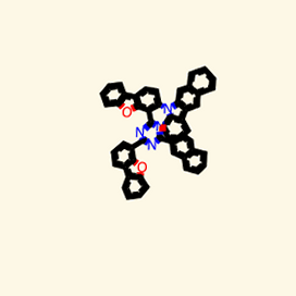 c1ccc2cc(-c3nc(-c4cccc5c4oc4ccccc45)nc(-c4c(-n5c6ccccc6c6cc7ccccc7cc65)ccc5c4oc4ccccc45)n3)ccc2c1